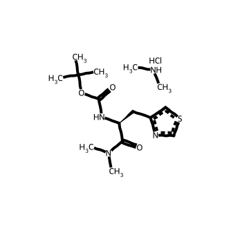 CN(C)C(=O)[C@H](Cc1cscn1)NC(=O)OC(C)(C)C.CNC.Cl